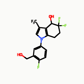 OCc1cc(-n2cc(C(F)(F)F)c3c2CCC(F)(F)C3O)ccc1F